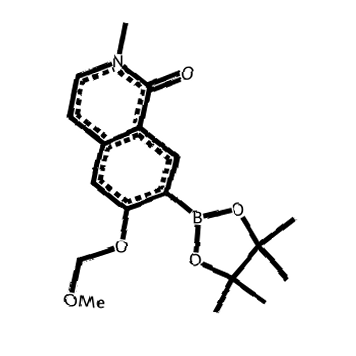 COCOc1cc2ccn(C)c(=O)c2cc1B1OC(C)(C)C(C)(C)O1